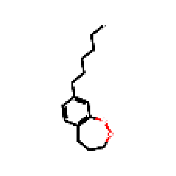 [CH2]CCCCCc1ccc2c(c1)OOCCC2